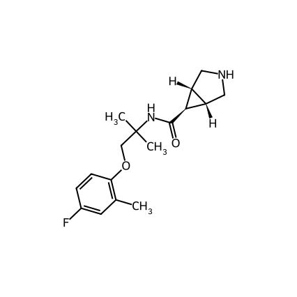 Cc1cc(F)ccc1OCC(C)(C)NC(=O)[C@H]1[C@@H]2CNC[C@@H]21